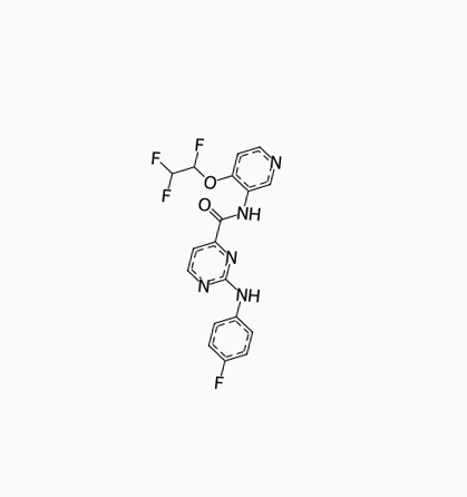 O=C(Nc1cnccc1OC(F)C(F)F)c1ccnc(Nc2ccc(F)cc2)n1